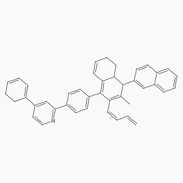 C=C/C=C\C1=C(C)C(c2ccc3ccccc3c2)C2CCC=CC2=C1c1ccc(-c2cc(C3=CC=CCC3)ccn2)cc1